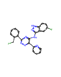 FCc1ccccc1-c1nnc(-c2ccccn2)c(Nc2n[nH]c3ccc(F)cc23)n1